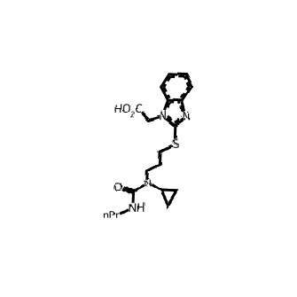 CCCNC(=O)N(CCCSc1nc2ccccc2n1CC(=O)O)C1CC1